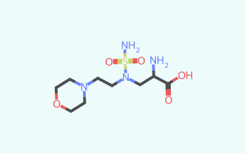 NC(CN(CCN1CCOCC1)S(N)(=O)=O)C(=O)O